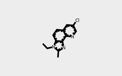 CCn1c(C)nc2c3ncc(Cl)cc3ccc21